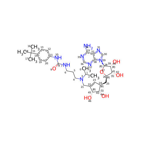 CC(C)N(CCCNC(=O)Nc1ccc(C(C)(C)C)cc1)CC1=C[C@@H](C[C@H]2O[C@@H](n3cnc4c(N)ncnc43)[C@H](O)[C@@H]2O)[C@H](O)[C@@H]1O